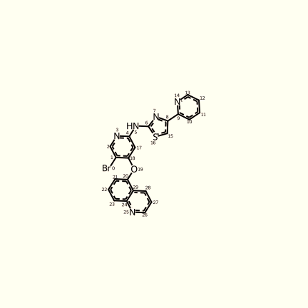 Brc1cnc(Nc2nc(-c3ccccn3)cs2)cc1Oc1cccc2ncccc12